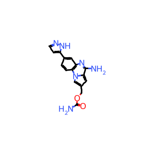 NC(=O)OCc1cc2c(N)nc3cc(-c4ccn[nH]4)ccc3n2c1